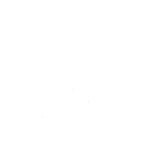 N#Cc1cccc(CSC2=C(O)CC(CCc3ccccc3)(c3ccccc3)OC2=O)c1